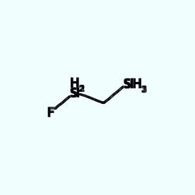 F[SiH2]C[SiH3]